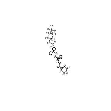 C/C(=C\OC(=O)CCC(=O)OCCc1ccccc1)Cc1ccc(C(C)(C)C)cc1